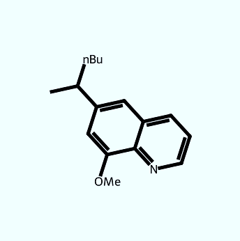 CCCCC(C)c1cc(OC)c2ncccc2c1